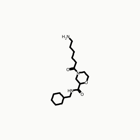 NCCCCCC(=O)N1CCOC(C(=O)NCC2CCCCC2)C1